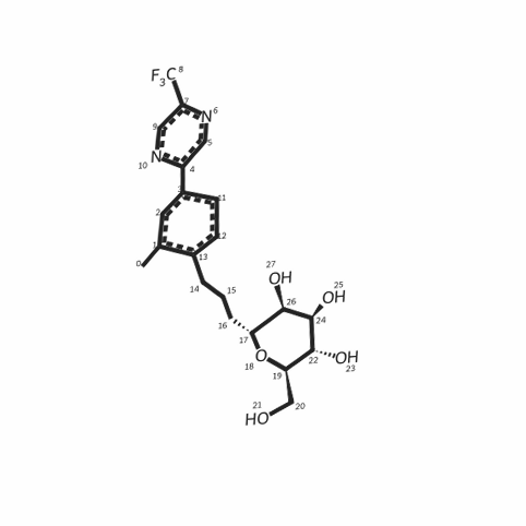 Cc1cc(-c2cnc(C(F)(F)F)cn2)ccc1CCC[C@H]1O[C@H](CO)[C@@H](O)[C@H](O)[C@@H]1O